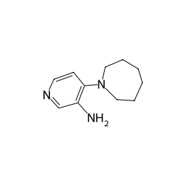 Nc1cnccc1N1CCCCCC1